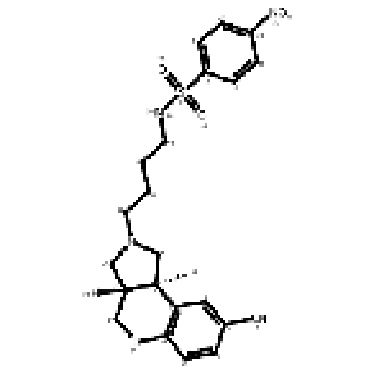 N#Cc1ccc2c(c1)[C@@H]1CN(CCCCNS(=O)(=O)c3ccc([N+](=O)[O-])cc3)C[C@H]1CO2